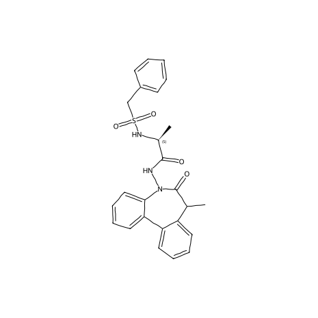 CC1C(=O)N(NC(=O)[C@H](C)NS(=O)(=O)Cc2ccccc2)c2ccccc2-c2ccccc21